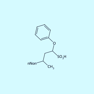 CCCCCCCCCC(C)CC(Oc1ccccc1)S(=O)(=O)O